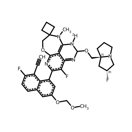 [2H]N1C2=c3c(nc(-c4cc(OCOC)cc5ccc(F)c(C#C)c45)c(F)c3=NC1OC[C@@]13CCCN1C[C@H](F)C3)OCC1(CCC1)N2C